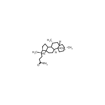 C[C@@H]1CC[C@@]2(C)[C@@H](C1)C[C@@H](C)C1C3CC[C@H]([C@H](C)CCC(=O)P)[C@@]3(S)CC[C@@H]12